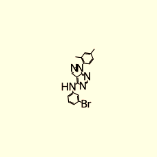 Cc1ccc(-n2ncc3c(Nc4cccc(Br)c4)ncnc32)c(C)c1